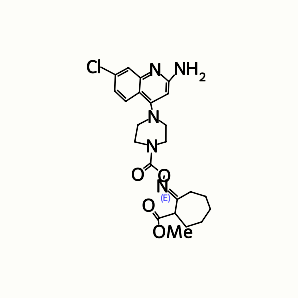 COC(=O)C1CCCCC/C1=N\OC(=O)N1CCN(c2cc(N)nc3cc(Cl)ccc23)CC1